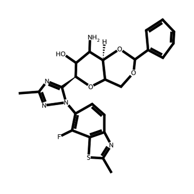 Cc1nc([C@@H]2OC3COC(c4ccccc4)O[C@@H]3C(N)C2O)n(-c2ccc3nc(C)sc3c2F)n1